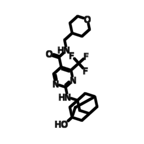 O=C(NCC1CCOCC1)c1cnc(NC23CC4CC(CC(O)(C4)C2)C3)nc1C(F)(F)F